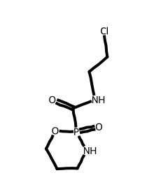 O=C(NCCCl)P1(=O)NCCCO1